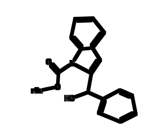 CCCCOC(=O)n1c(C(O)c2ccccc2)cc2ccccc21